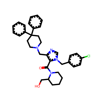 O=C(c1c(CN2CCC(c3ccccc3)(c3ccccc3)CC2)ncn1Cc1ccc(Cl)cc1)N1CCCCC1CO